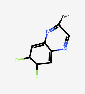 CCCc1cnc2c(n1)=CC(F)C(F)C=2